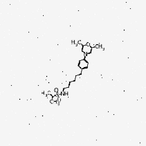 CC1CN(c2ccc(CCCCCCNS(=O)(=O)C(C)C)cc2)CC(C)O1